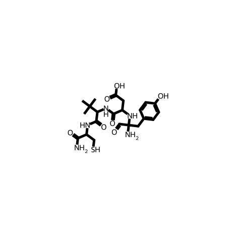 CC(C)(C)C(NC(=O)C(CC(=O)O)NC(N)(C=O)Cc1ccc(O)cc1)C(=O)NC(CS)C(N)=O